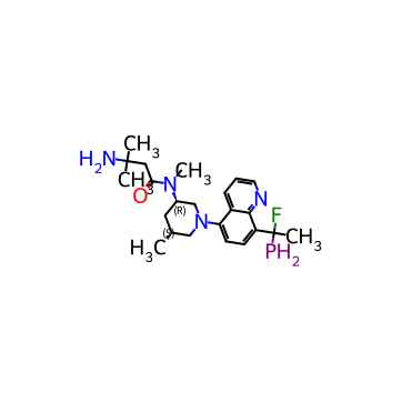 C[C@H]1C[C@@H](N(C)C(=O)CC(C)(C)N)CN(c2ccc(C(C)(F)P)c3ncccc23)C1